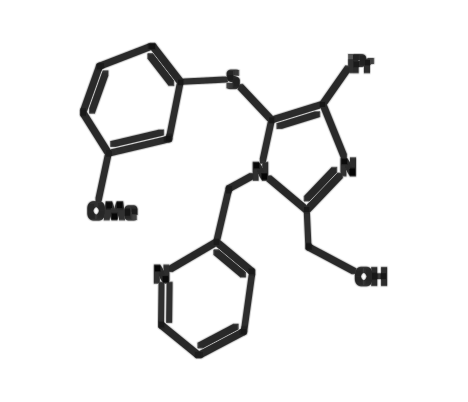 COc1cccc(Sc2c(C(C)C)nc(CO)n2Cc2ccccn2)c1